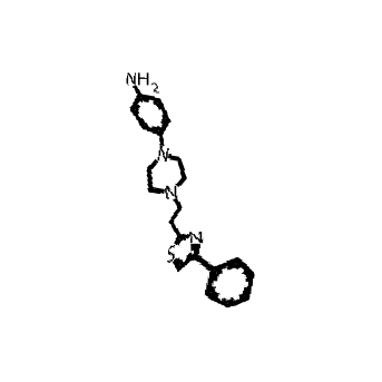 Nc1ccc(N2CCN(CCc3nc(-c4ccccc4)cs3)CC2)cc1